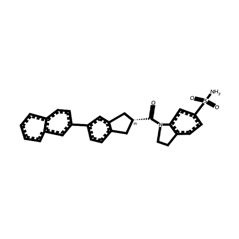 NS(=O)(=O)c1ccc2c(c1)N(C(=O)[C@@H]1Cc3ccc(-c4ccc5ccccc5c4)cc3C1)CC2